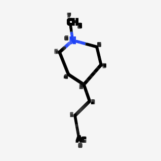 CC(=O)CCC1CCN(C)CC1